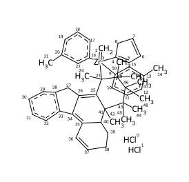 Cl.Cl.[CH2]=[Zr]([C]1=CC=CC1)([c]1cccc(C)c1)([c]1cccc(C)c1)[C]1(C)C2=C3Cc4ccccc4C3=C3C=CCCC3C2(C)C(C)(C)C(C)(C)C1(C)C